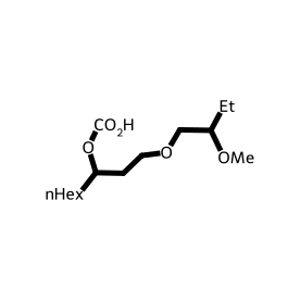 CCCCCCC(CCOCC(CC)OC)OC(=O)O